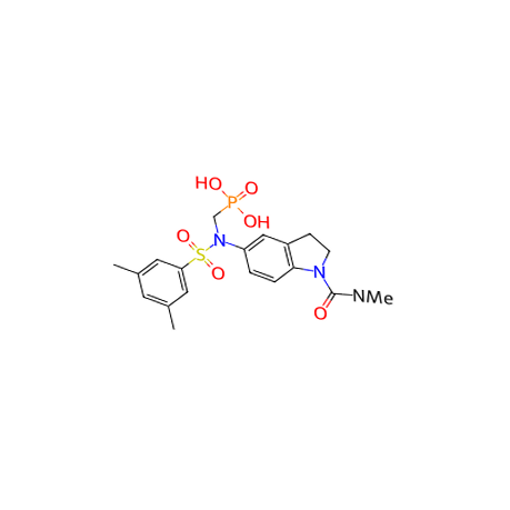 CNC(=O)N1CCc2cc(N(CP(=O)(O)O)S(=O)(=O)c3cc(C)cc(C)c3)ccc21